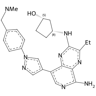 CCc1nc2c(N)ncc(-c3cnn(-c4ccc(CNC)cc4)c3)c2nc1N[C@@H]1CC[C@H](O)C1